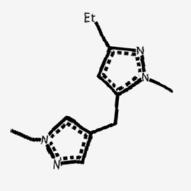 CCc1cc(Cc2cnn(C)c2)n(C)n1